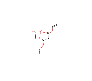 C=COC(=O)CC(=O)OC=C.CC(=O)O